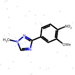 COc1cc(-c2ncn(C)n2)ccc1[N+](=O)[O-]